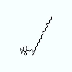 CCCCCCCCCCCCCCCCCCN(CC)CCNC(=O)C(F)(F)F